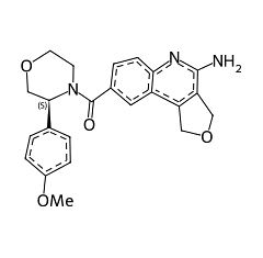 COc1ccc([C@H]2COCCN2C(=O)c2ccc3nc(N)c4c(c3c2)COC4)cc1